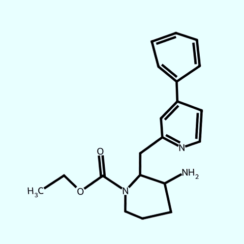 CCOC(=O)N1CCCC(N)C1Cc1cc(-c2ccccc2)ccn1